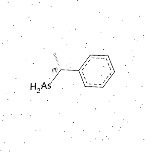 C[C@@H]([AsH2])c1ccccc1